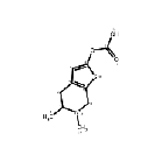 CC1Cc2cc(OC(=O)O)sc2CN1C